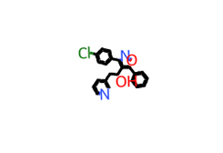 OC(Cc1cccnc1)c1c(-c2ccc(Cl)cc2)noc1-c1ccccc1